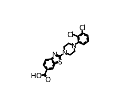 O=C(O)c1ccc2nc(N3CCN(c4cccc(Cl)c4Cl)CC3)sc2c1